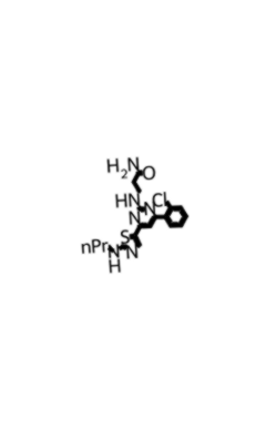 CCCNc1ncc(-c2cc(-c3ccccc3Cl)nc(NCCC(N)=O)n2)s1